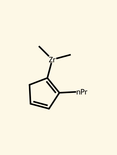 CCCC1=[C]([Zr]([CH3])[CH3])CC=C1